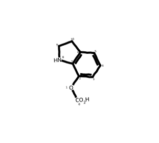 O=C(O)Oc1cccc2c1NCC2